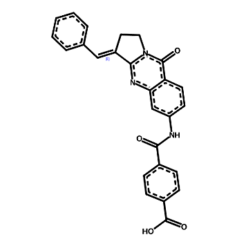 O=C(O)c1ccc(C(=O)Nc2ccc3c(=O)n4c(nc3c2)/C(=C/c2ccccc2)CC4)cc1